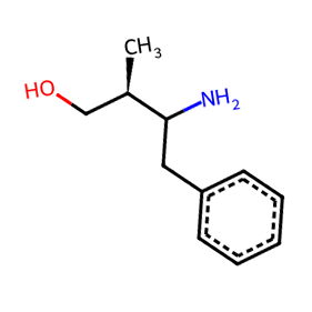 C[C@H](CO)C(N)Cc1ccccc1